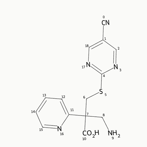 N#Cc1cnc(SCC(CN)(C(=O)O)c2ccccn2)nc1